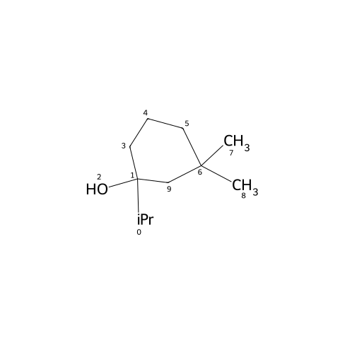 CC(C)C1(O)CCCC(C)(C)C1